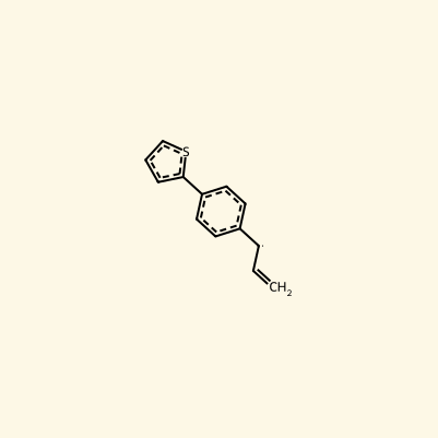 C=C[CH]c1ccc(-c2cccs2)cc1